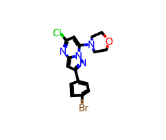 Clc1cc(N2CCOCC2)n2nc(-c3ccc(Br)cc3)cc2n1